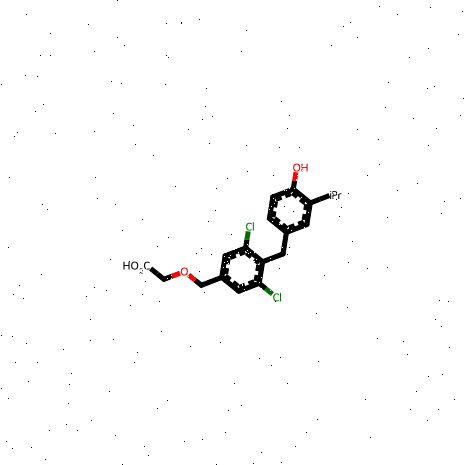 CC(C)c1cc(Cc2c(Cl)cc(COCC(=O)O)cc2Cl)ccc1O